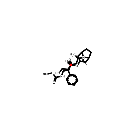 CC(CC(=O)CCNC(=O)OC(C)(C)C)[N+]1(C)C2CCC1CC(OC(=O)C(CO)c1ccccc1)C2